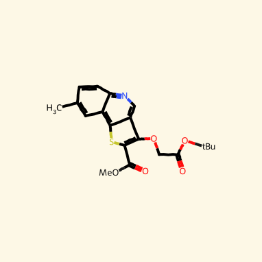 COC(=O)c1sc2c(cnc3ccc(C)cc32)c1OCC(=O)OC(C)(C)C